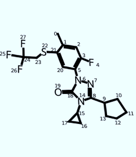 Cc1cc(F)c(-n2nc(C3CCCC3)n(C3CC3)c2=O)cc1SCC(F)(F)F